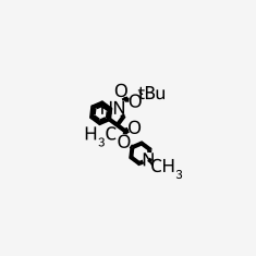 CN1CCC(OC(=O)C(C)(CNC(=O)OC(C)(C)C)c2ccccc2)CC1